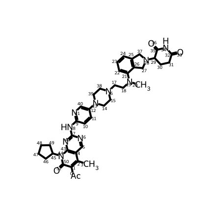 CC(=O)c1c(C)c2cnc(Nc3ccc(N4CCN(CCN(C)c5cccc6c5CN(C5CCC(=O)NC5=O)C6)CC4)cn3)nc2n(C2CCCC2)c1=O